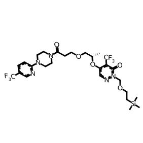 C[C@@H](COCCC(=O)N1CCN(c2ccc(C(F)(F)F)cn2)CC1)Oc1cnn(COCC[Si](C)(C)C)c(=O)c1C(F)(F)F